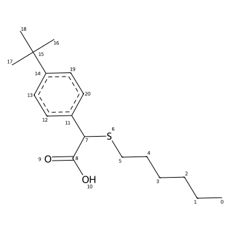 CCCCCCSC(C(=O)O)c1ccc(C(C)(C)C)cc1